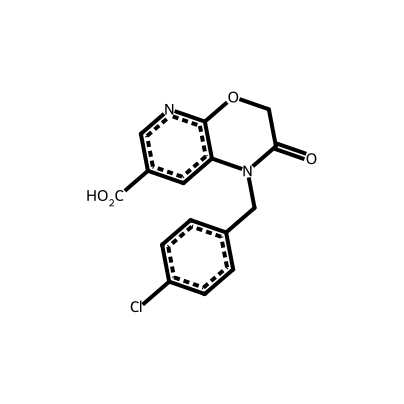 O=C(O)c1cnc2c(c1)N(Cc1ccc(Cl)cc1)C(=O)CO2